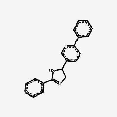 c1ccc(-c2ncc(C3CN=C(c4ccncc4)N3)cn2)cc1